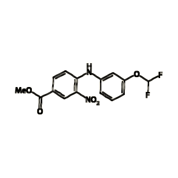 COC(=O)c1ccc(Nc2cccc(OC(F)F)c2)c([N+](=O)[O-])c1